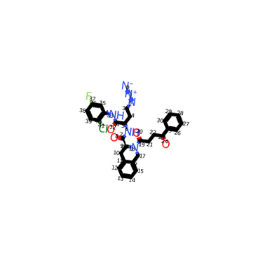 [N-]=[N+]=NCCC(NC(=O)[C@@H]1Cc2ccccc2CN1C(=O)CCC(=O)c1ccccc1)C(=O)Nc1cc(F)ccc1Cl